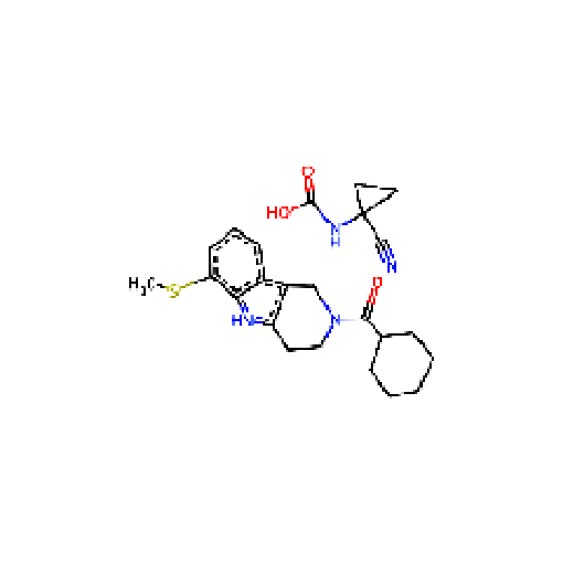 CSc1cccc2c3c([nH]c12)CCN(C(=O)C1CCCCC1)C3.N#CC1(NC(=O)O)CC1